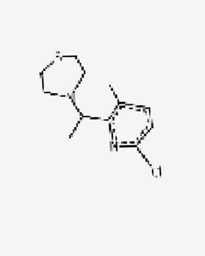 Cc1ccc(Cl)nc1C(C)N1CCSCC1